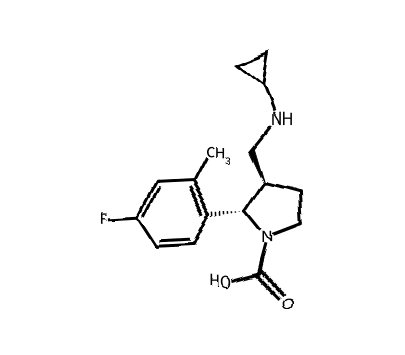 Cc1cc(F)ccc1[C@@H]1[C@@H](CNC2CC2)CCN1C(=O)O